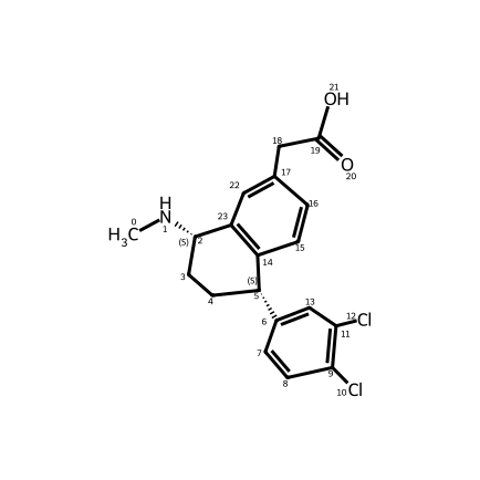 CN[C@H]1CC[C@@H](c2ccc(Cl)c(Cl)c2)c2ccc(CC(=O)O)cc21